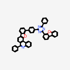 c1ccc(-c2nc(-c3ccc(-c4cccc5c4oc4c5ccc5c(-c6ccccc6)nc6ccccc6c54)cc3)nc(-c3cccc4c3oc3ccccc34)n2)cc1